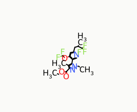 CCOC(=O)c1nn(CC)c(-c2cnc(CC(C)C(F)(F)F)cc2OC(F)F)c1C